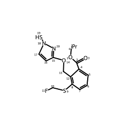 CC(C)OC(=O)c1cccc(SCF)c1COc1ccn(S)n1